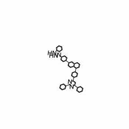 c1ccc(-c2cc(-c3ccc(-c4cccc5cc(-c6ccc(N7NNc8ccccc87)cc6)ccc45)cc3)nc(-c3ccccc3)n2)cc1